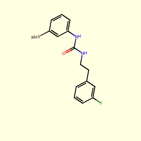 CSc1cccc(NC(=O)NCCc2cccc(F)c2)c1